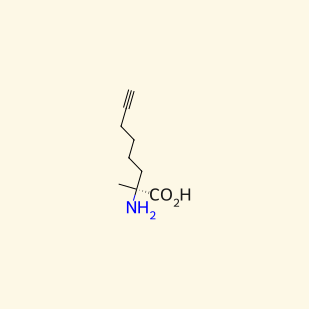 C#CCCCC[C@](C)(N)C(=O)O